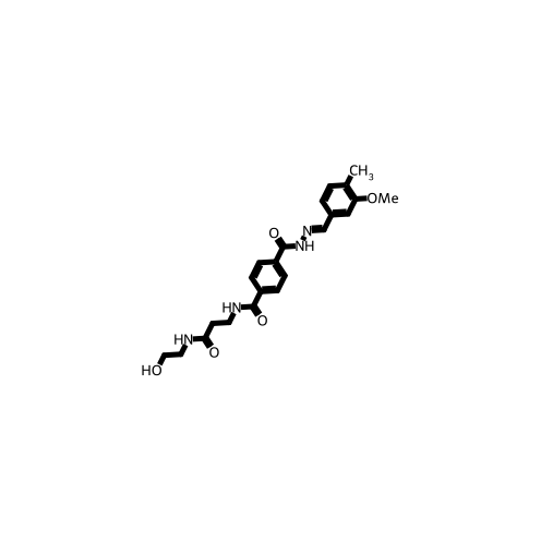 COc1cc(C=NNC(=O)c2ccc(C(=O)NCCC(=O)NCCO)cc2)ccc1C